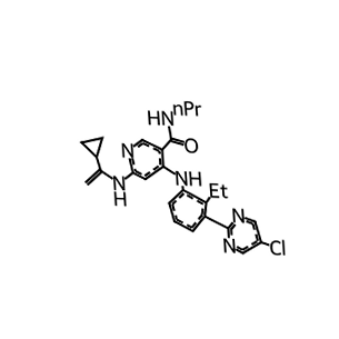 C=C(Nc1cc(Nc2cccc(-c3ncc(Cl)cn3)c2CC)c(C(=O)NCCC)cn1)C1CC1